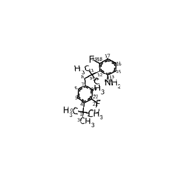 CC(C)(C)c1ccc(CC(C)(C)c2c(N)cccc2F)cc1F